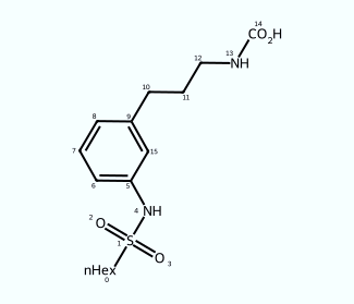 CCCCCCS(=O)(=O)Nc1cccc(CCCNC(=O)O)c1